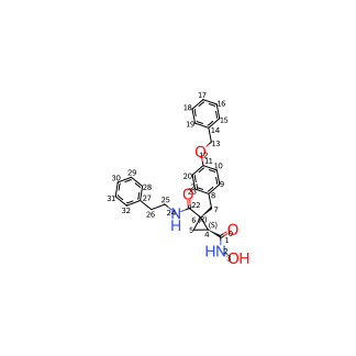 O=C(NO)[C@H]1C[C@]1(Cc1ccc(OCc2ccccc2)cc1)C(=O)NCCc1ccccc1